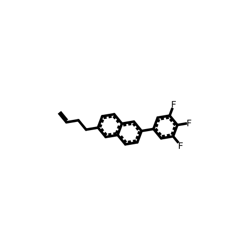 C=CCCc1ccc2cc(-c3cc(F)c(F)c(F)c3)ccc2c1